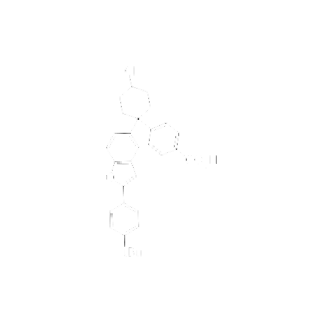 CC(C)(C)c1ccc(-c2cc3cc(C4(c5ccc(C(=O)O)cc5)CCC(C(F)(F)F)CC4)ccc3o2)cc1